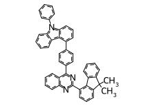 CC1(C)c2ccccc2-c2c(-c3nc(-c4ccc(-c5cccc6c5c5ccccc5n6-c5ccccc5)cc4)c4ccccc4n3)cccc21